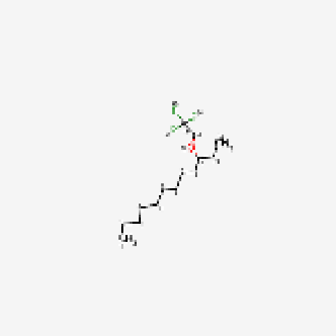 CCCCCCCCCC(CC)OCC(F)(F)F